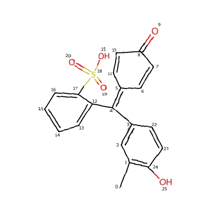 Cc1cc(C(=C2C=CC(=O)C=C2)c2ccccc2S(=O)(=O)O)ccc1O